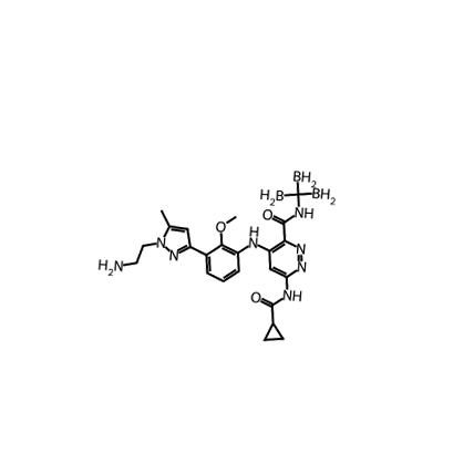 BC(B)(B)NC(=O)c1nnc(NC(=O)C2CC2)cc1Nc1cccc(-c2cc(C)n(CCN)n2)c1OC